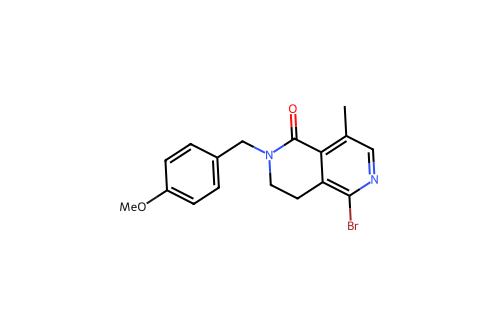 COc1ccc(CN2CCc3c(Br)ncc(C)c3C2=O)cc1